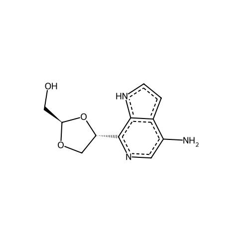 Nc1cnc([C@@H]2CO[C@@H](CO)O2)c2[nH]ccc12